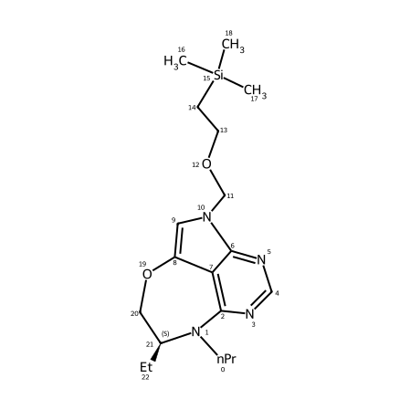 CCCN1c2ncnc3c2c(cn3COCC[Si](C)(C)C)OC[C@@H]1CC